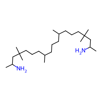 CC(N)CC(C)(C)CCCC(C)CCCC(C)CCCC(C)(C)CC(C)N